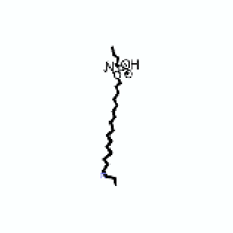 CC/C=C\CCCCCCCCCCCCCCCOP(=O)(O)C(CCC)[N+](C)(C)C